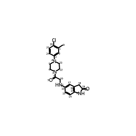 Cc1cc(N2CCN(C(=O)CNc3ccc4c(c3)CC(=O)N4)CC2)ccc1Cl